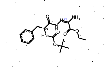 CCOC(=O)/C(N)=N\NC(=O)[C@H](Cc1ccccc1)NC(=O)OC(C)(C)C